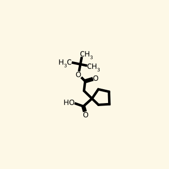 CC(C)(C)OC(=O)CC1(C(=O)O)CCCC1